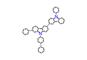 c1ccc(-c2ccc(-n3c4ccc(-c5ccc6c(c5)c5ccccc5n6-c5ccccc5)cc4c4ccc(-c5ccccc5)cc43)cc2)cc1